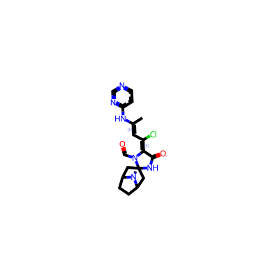 C/C(=C\C(Cl)=C1\C(=O)NC2(CC3CCC(C2)N3C)N1C=O)Nc1ccncn1